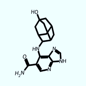 NC(=O)c1cnc2[nH]cnc2c1NC1C2CC3CC1CC(O)(C3)C2